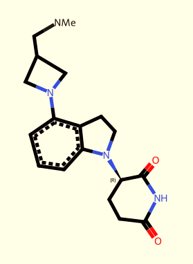 CNCC1CN(c2cccc3c2CCN3[C@@H]2CCC(=O)NC2=O)C1